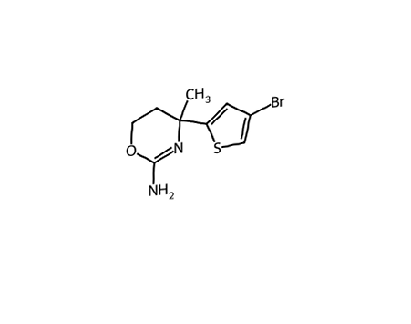 CC1(c2cc(Br)cs2)CCOC(N)=N1